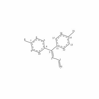 [CH]=CC=C(c1ccc(C)cc1)c1ccc(C)cc1